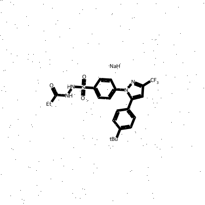 CCC(=O)NNS(=O)(=O)c1ccc(-n2nc(C(F)(F)F)cc2-c2ccc(C(C)(C)C)cc2)cc1.[NaH]